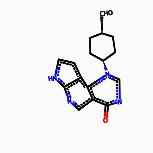 O=C[C@H]1CC[C@H](n2cnc(=O)c3cnc4[nH]ccc4c32)CC1